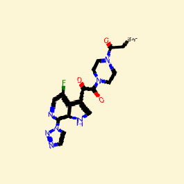 CC(C)CC(=O)N1CCN(C(=O)C(=O)c2c[nH]c3c(-n4ccnn4)ncc(F)c23)CC1